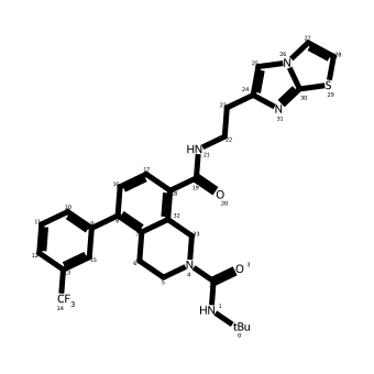 CC(C)(C)NC(=O)N1CCc2c(-c3cccc(C(F)(F)F)c3)ccc(C(=O)NCCc3cn4ccsc4n3)c2C1